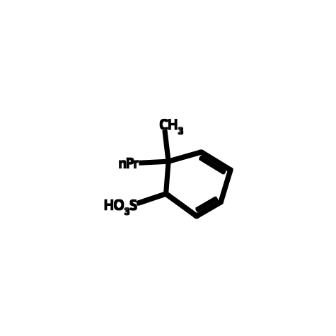 CCCC1(C)C=CC=CC1S(=O)(=O)O